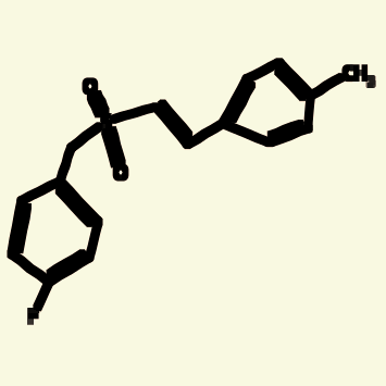 Cc1ccc(C=CS(=O)(=O)Cc2ccc(F)cc2)cc1